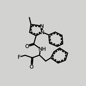 Cc1cc(C(=O)NC(Cc2ccccc2)C(=O)CF)n(-c2ccccc2)n1